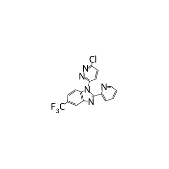 FC(F)(F)c1ccc2c(c1)nc(-c1ccccn1)n2-c1ccc(Cl)nn1